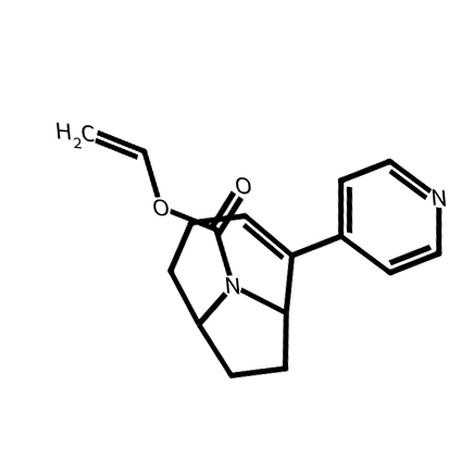 C=COC(=O)N1C2CCC=C(c3ccncc3)C1CC2